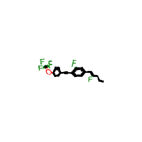 CCCC(F)=Cc1ccc(C#Cc2ccc(OC(F)(F)F)cc2)c(F)c1